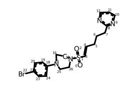 O=S(=O)(C=CCCCc1ncccn1)N1CCN(c2ccc(Br)cc2)CC1